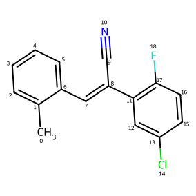 Cc1ccccc1/C=C(\C#N)c1cc(Cl)ccc1F